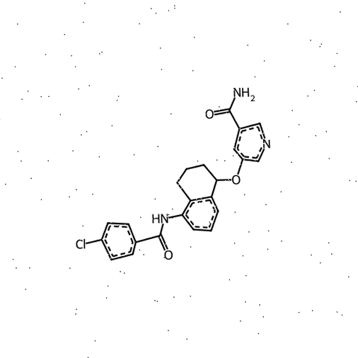 NC(=O)c1cncc(OC2CCCc3c(NC(=O)c4ccc(Cl)cc4)cccc32)c1